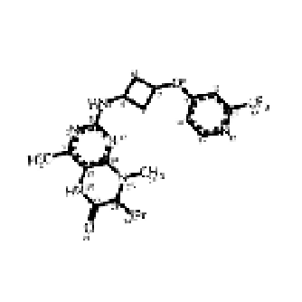 Cc1nc(NC2CC(Oc3ccnc(C(F)(F)F)c3)C2)nc2c1NC(=O)C(C(C)C)N2C